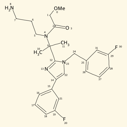 COCC(=O)N(CCCN)C(C)(C)c1nc(-c2cccc(F)c2)cn1Cc1cccc(F)c1